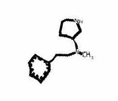 CN(CCc1ccccc1)[C@H]1CCNC1